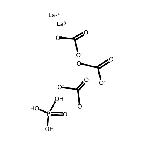 O=C([O-])[O-].O=C([O-])[O-].O=C([O-])[O-].O=P(O)(O)O.[La+3].[La+3]